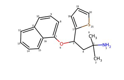 CC(C)(N)CC(Oc1cccc2ccccc12)c1cccs1